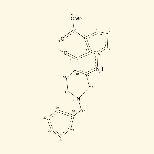 COC(=O)c1cccc2[nH]c3c(c(=O)c12)CCN(Cc1ccccc1)C3